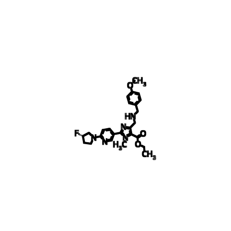 CCOC(=O)c1c(CNCc2ccc(OC)cc2)nc(-c2ccc(N3CC[C@H](F)C3)nc2)n1C